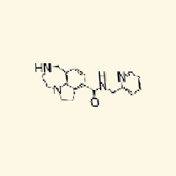 O=C(NCc1ccccn1)c1ccc2c3c1CCN3CCNC2